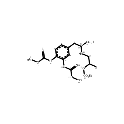 CCCOC(=O)Oc1ccc(C[C@H](NCC(C)OC(=O)OCC)C(=O)O)cc1OC(=O)OCCC